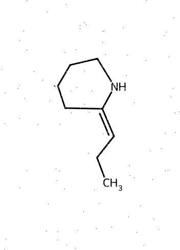 CCC=C1C[CH]CCN1